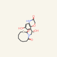 O=C1COc2c(cc(O)cc2[C@@H](O)CN2C(=O)CCCCCCCC2=O)N1